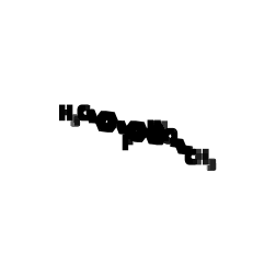 CCCCCOc1ccc(-c2ccc(CC[C@H]3CC[C@H](CCC)CC3)c(F)c2)nn1